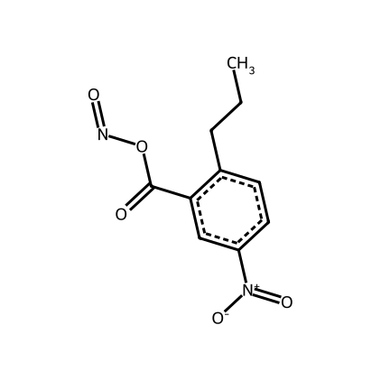 CCCc1ccc([N+](=O)[O-])cc1C(=O)ON=O